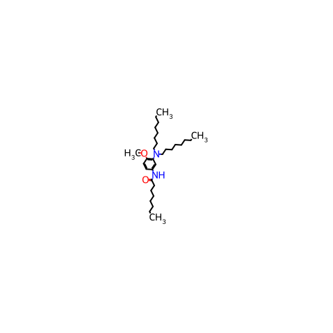 CCCCCCCCN(CCCCCCCC)c1cc(NC(=O)CCCCCCC)ccc1OC